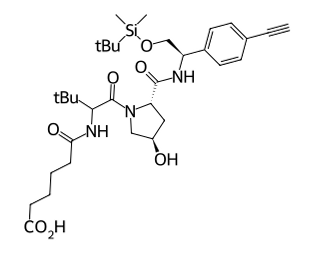 C#Cc1ccc([C@H](CO[Si](C)(C)C(C)(C)C)NC(=O)[C@@H]2C[C@@H](O)CN2C(=O)C(NC(=O)CCCCC(=O)O)C(C)(C)C)cc1